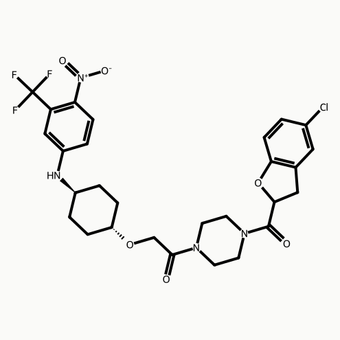 O=C(CO[C@H]1CC[C@H](Nc2ccc([N+](=O)[O-])c(C(F)(F)F)c2)CC1)N1CCN(C(=O)C2Cc3cc(Cl)ccc3O2)CC1